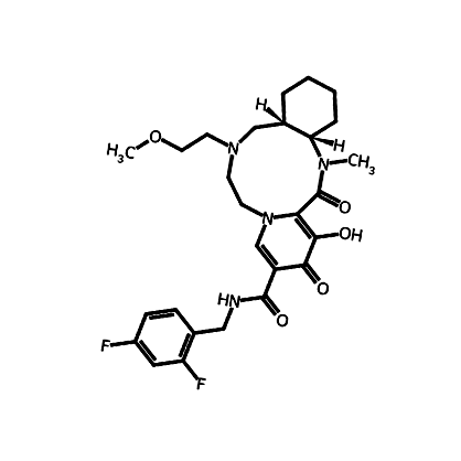 COCCN1CCn2cc(C(=O)NCc3ccc(F)cc3F)c(=O)c(O)c2C(=O)N(C)[C@H]2CCCC[C@H]2C1